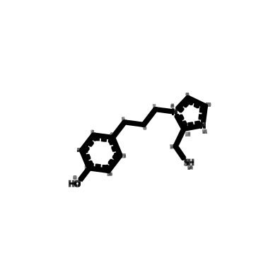 Oc1ccc(CCCn2ccnc2CS)cc1